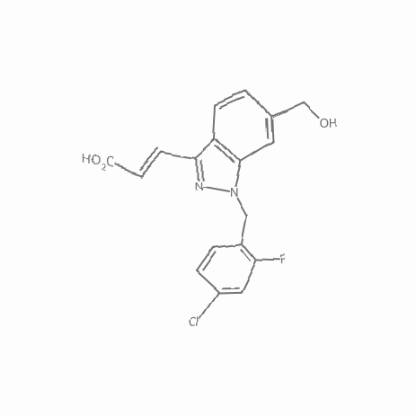 O=C(O)C=Cc1nn(Cc2ccc(Cl)cc2F)c2cc(CO)ccc12